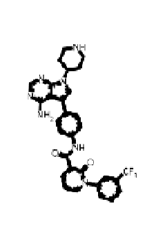 Nc1ncnc2c1c(-c1ccc(NC(=O)c3cccn(-c4cccc(C(F)(F)F)c4)c3=O)cc1)cn2C1CCNCC1